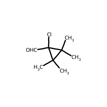 CC1(C)C(C)(C)C1(Cl)C=O